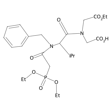 CCOC(=O)CN(CC(=O)O)C(=O)C(C(C)C)N(Cc1ccccc1)C(=O)CP(=O)(OCC)OCC